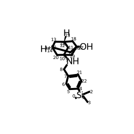 C[Si](C)(C)c1ccc(CNC23C[C@@H]4C[C@@H](CC(O)(C4)C2)C3)cc1